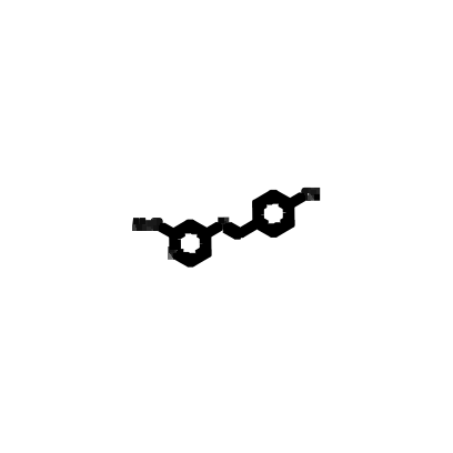 COc1cc(/N=C/c2ccc(C#N)cc2)ccn1